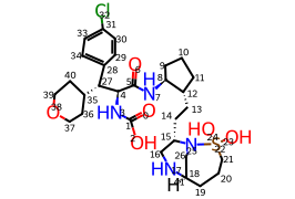 O=C(O)N[C@H](C(=O)N[C@H]1CCC[C@@H]1CC[C@H]1CN[C@@H]2CCCS(O)(O)N1C2)[C@@H](c1ccc(Cl)cc1)C1CCOCC1